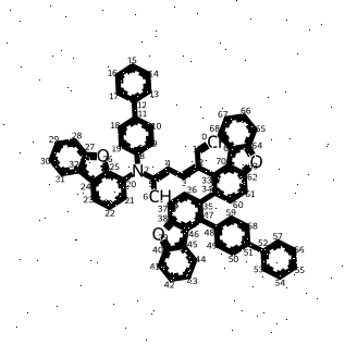 C=C/C(=C\C=C(/C)N(c1ccc(-c2ccccc2)cc1)c1cccc2c1oc1ccccc12)c1c(-c2ccc3oc4ccccc4c3c2-c2ccc(-c3ccccc3)cc2)ccc2oc3ccccc3c12